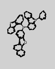 c1ccc(-n2c3ccccc3c3c(N(c4ccc5c(c4)oc4c6ccccc6ccc54)c4cccc5sc6ccccc6c45)cccc32)cc1